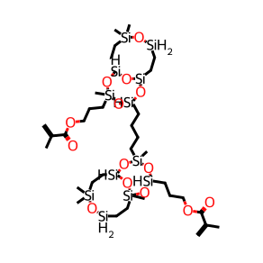 C=C(C)C(=O)OCCC[SiH]1O[Si](C)(CCCC[SiH]2O[Si](C)(CCCOC(=O)C(=C)C)O[SiH]3CC[Si](C)(C)O[SiH2]CC[Si](C)(O2)O3)O[SiH]2CC[Si](C)(C)O[SiH2]CC[Si](C)(O1)O2